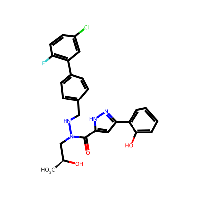 O=C(O)[C@H](O)CN(NCc1ccc(-c2cc(Cl)ccc2F)cc1)C(=O)c1cc(-c2ccccc2O)n[nH]1